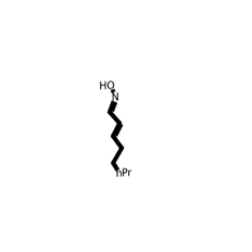 CCCCCC=CC=NO